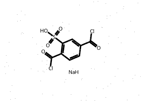 O=C(Cl)c1ccc(C(=O)Cl)c(S(=O)(=O)O)c1.[NaH]